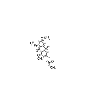 COC(=O)CCc1cc(OC)c2c(c1)C(=O)c1cc(OC)cc(OC)c1C2=O